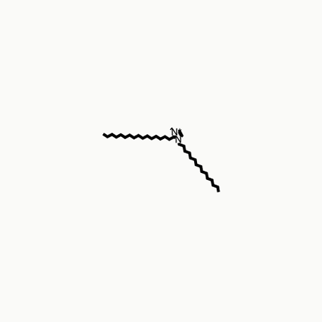 CCCCCCCCCCCCCCCCc1n(CCCCCCCCCCCCCCC)cc[n+]1C